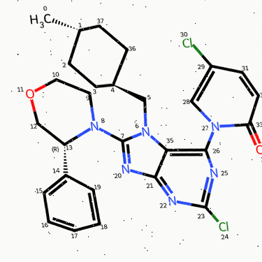 C[C@H]1CC[C@H](Cn2c(N3CCOC[C@H]3c3ccccc3)nc3nc(Cl)nc(-n4cc(Cl)ccc4=O)c32)CC1